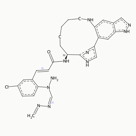 C=N/N=C\N(N)c1ccc(Cl)cc1/C=C/C(=O)N[C@H]1CCCCCNc2cc3cn[nH]c3cc2-c2c[nH]c1n2